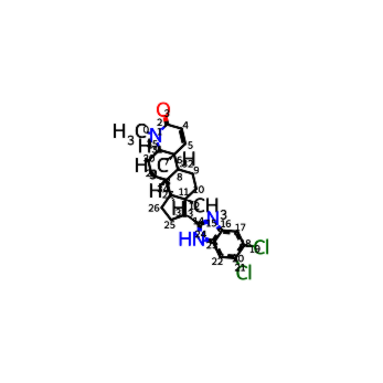 CN1C(=O)C=C[C@]2(C)[C@H]3CC[C@]4(C)[C@@H](c5nc6cc(Cl)c(Cl)cc6[nH]5)CC[C@H]4[C@@H]3CC[C@@H]12